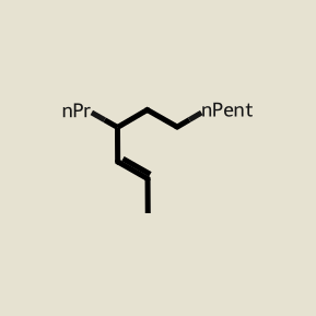 [CH2]CCC(C=CC)CCCCCCC